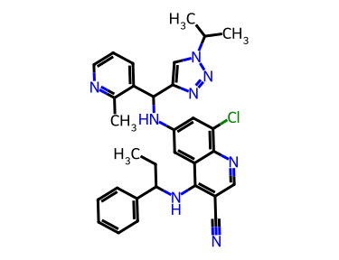 CCC(Nc1c(C#N)cnc2c(Cl)cc(NC(c3cn(C(C)C)nn3)c3cccnc3C)cc12)c1ccccc1